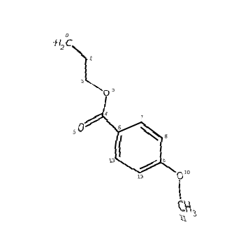 [CH2]CCOC(=O)c1ccc(OC)cc1